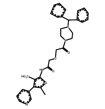 Cc1sc(NC(=O)COCC(=O)N2CCN(C(c3ccccc3)c3ccccc3)CC2)c(C(=O)O)c1-c1cccnc1